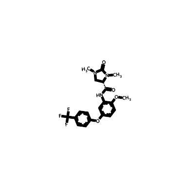 COc1ccc(Oc2ccc(C(F)(F)F)cc2)cc1NC(=O)[C@@H]1CN(C)C(=O)N1C